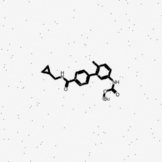 Cc1ccc(NC(=O)OC(C)(C)C)cc1-c1ccc(C(=O)NCC2CC2)cc1